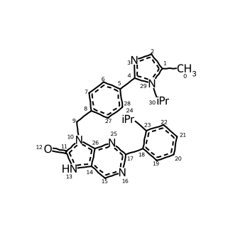 Cc1cnc(-c2ccc(Cn3c(=O)[nH]c4cnc(-c5ccccc5C(C)C)nc43)cc2)n1C(C)C